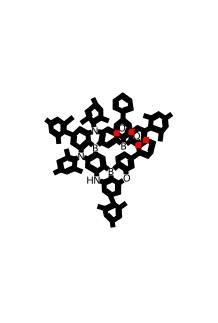 Cc1cc(C)c(-c2cc3c4c(c2)Oc2cc(-c5ccccc5)ccc2B4c2cc4c(cc2N3)N(c2c(C)cc(C)cc2C)c2cc(-c3c(C)cc(C)cc3C)cc3c2B4c2cc4c(cc2N3c2c(C)cc(C)cc2C)Oc2cc(-c3c(C)cc(C)cc3C)cc3c2B4c2ccc(-c4ccccc4)cc2O3)c(C)c1